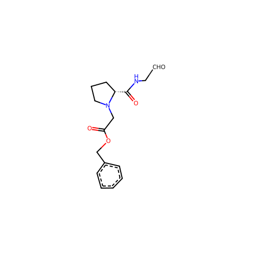 O=CCNC(=O)[C@H]1CCCN1CC(=O)OCc1ccccc1